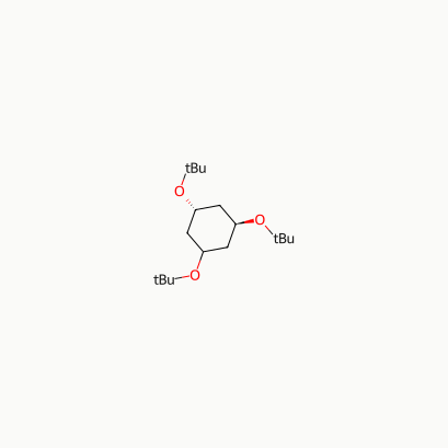 CC(C)(C)OC1C[C@H](OC(C)(C)C)C[C@@H](OC(C)(C)C)C1